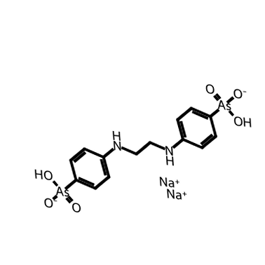 O=[As]([O-])(O)c1ccc(NCCNc2ccc([As](=O)([O-])O)cc2)cc1.[Na+].[Na+]